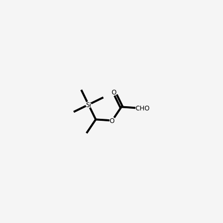 CC(OC(=O)C=O)[Si](C)(C)C